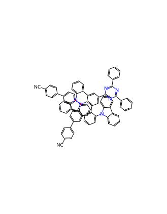 N#Cc1ccc(-c2ccc3c(c2)c2cc(-c4ccc(C#N)cc4)ccc2n3-c2c(-c3ccccc3-n3c4ccccc4c4ccccc43)cc(-c3nc(-c4ccccc4)nc(-c4ccccc4)n3)cc2-c2ccccc2-n2c3ccccc3c3ccccc32)cc1